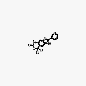 CCC1(CC)OC(=O)N(C)c2cc3nc(-c4cccnc4)[nH]c3cc21